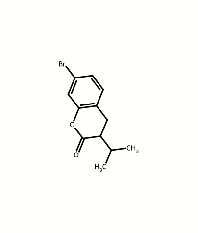 CC(C)C1Cc2ccc(Br)cc2OC1=O